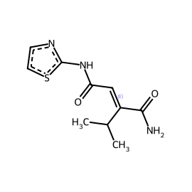 CC(C)/C(=C\C(=O)Nc1nccs1)C(N)=O